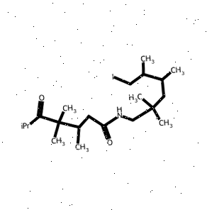 CC(C)C(=O)C(C)(C)C(C)CC(=O)NCC(C)(C)CC(C)C(C)CI